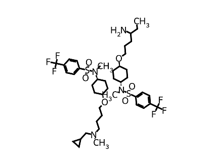 CCC(N)CCCO[C@H]1CC[C@H](N(C)S(=O)(=O)c2ccc(C(F)(F)F)cc2)CC1.CN(CCCCO[C@H]1CC[C@H](N(C)S(=O)(=O)c2ccc(C(F)(F)F)cc2)CC1)CC1CC1